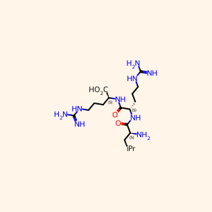 CC(C)C[C@H](N)C(=O)N[C@@H](CCCNC(=N)N)C(=O)N[C@@H](CCCNC(=N)N)C(=O)O